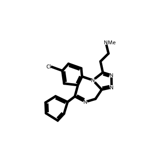 CNCCc1nnc2n1-c1ccc(Cl)cc1C(c1ccccc1)=NC2